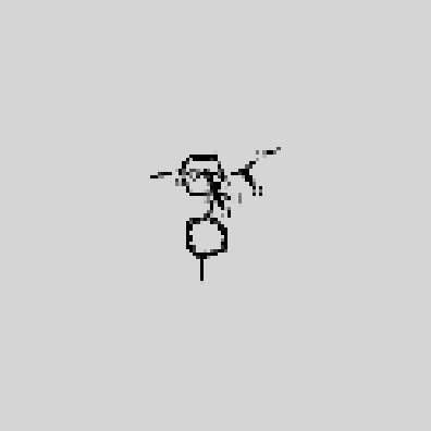 COC(=O)[C@@]12C=C[C@@H](C[C@H]1c1ccc(C)cc1)OC2=O